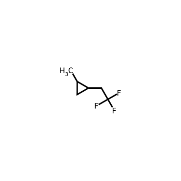 CC1CC1CC(F)(F)F